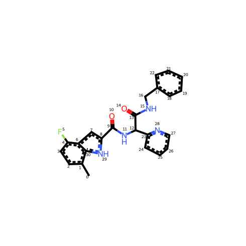 Cc1ccc(F)c2cc(C(=O)NC(C(=O)NCc3ccccc3)c3ccccn3)[nH]c12